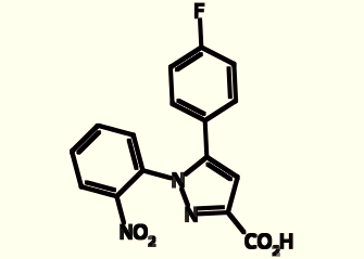 O=C(O)c1cc(-c2ccc(F)cc2)n(-c2ccccc2[N+](=O)[O-])n1